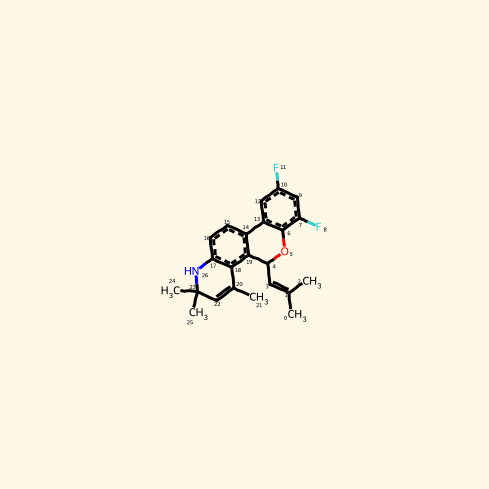 CC(C)=CC1Oc2c(F)cc(F)cc2-c2ccc3c(c21)C(C)=CC(C)(C)N3